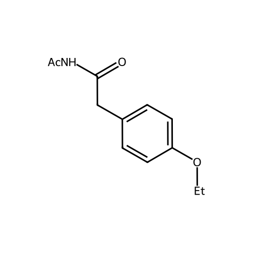 CCOc1ccc(CC(=O)NC(C)=O)cc1